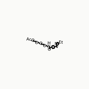 CCc1cnn(C(C)c2ccc(C(=O)NCCOCCOCCOCCOCC(C)=O)cc2)c1